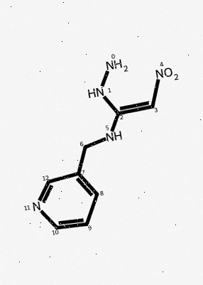 NNC(=C[N+](=O)[O-])NCc1cccnc1